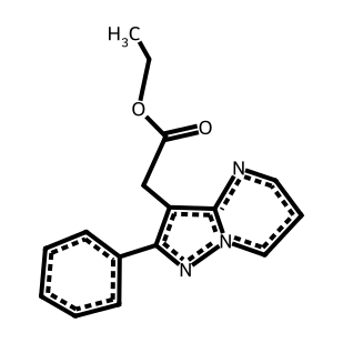 CCOC(=O)Cc1c(-c2ccccc2)nn2cccnc12